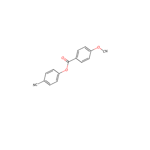 N#COc1ccc(C(=O)Oc2ccc(C#N)cc2)cc1